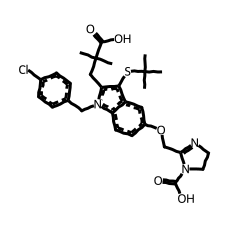 CC(C)(C)Sc1c(CC(C)(C)C(=O)O)n(Cc2ccc(Cl)cc2)c2ccc(OCC3=NCCN3C(=O)O)cc12